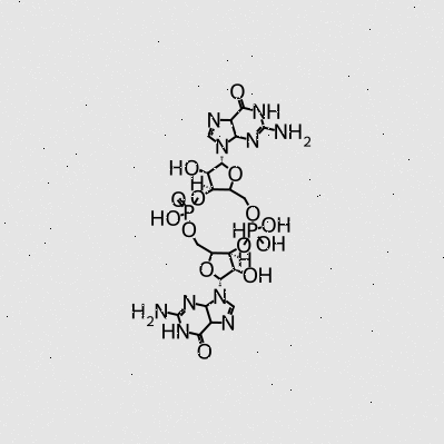 NC1=NC2C(N=CN2[C@@H]2OC3CO[PH](O)(O)O[C@@H]4C(COP(=O)(O)O[C@H]3[C@H]2O)O[C@@H](N2C=NC3C(=O)NC(N)=NC32)[C@@H]4O)C(=O)N1